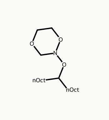 CCCCCCCCC(CCCCCCCC)ON1COCCO1